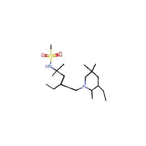 CCC(CN1CC(C)(C)CC(CC)C1C)CC(C)(C)NS(C)(=O)=O